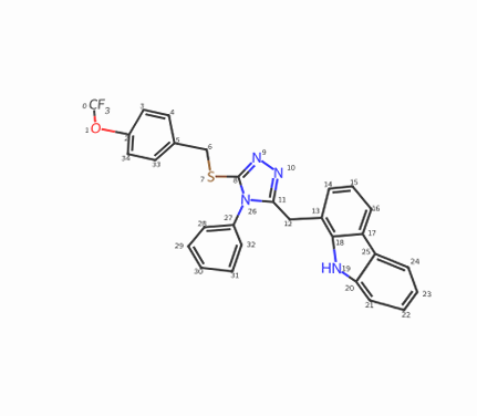 FC(F)(F)Oc1ccc(CSc2nnc(Cc3cccc4c3[nH]c3ccccc34)n2-c2ccccc2)cc1